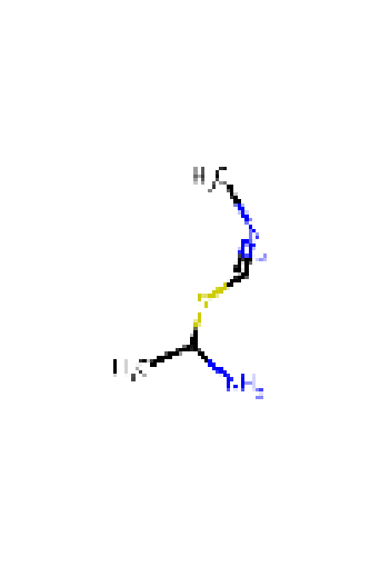 C/N=C\SC(C)N